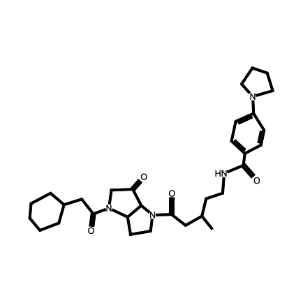 CC(CCNC(=O)c1ccc(N2CCCC2)cc1)CC(=O)N1CCC2C1C(=O)CN2C(=O)CC1CCCCC1